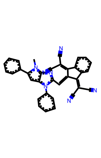 Cn1c(-c2ccccc2)cc2c1nc(C=C1C(=C(C#N)C#N)c3ccccc3C1=C(C#N)C#N)n2-c1ccccc1